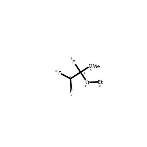 CCOC(F)(OC)C(F)F